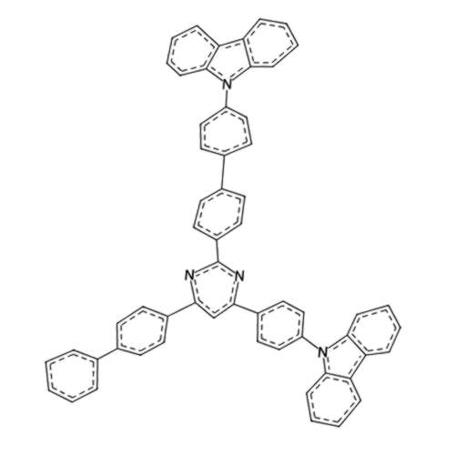 c1ccc(-c2ccc(-c3cc(-c4ccc(-n5c6ccccc6c6ccccc65)cc4)nc(-c4ccc(-c5ccc(-n6c7ccccc7c7ccccc76)cc5)cc4)n3)cc2)cc1